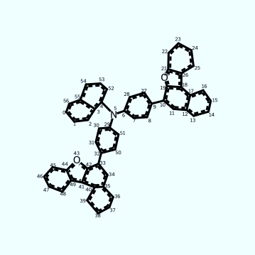 c1ccc2c(N(c3ccc(-c4cc5ccccc5c5c4oc4ccccc45)cc3)c3ccc(-c4cc5ccccc5c5c4oc4ccccc45)cc3)cccc2c1